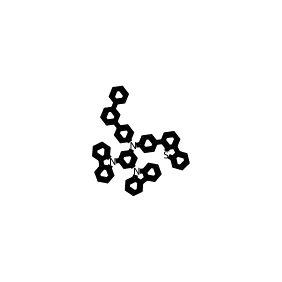 c1ccc(-c2cccc(-c3ccc(N(c4ccc(-c5cccc6c5sc5ccccc56)cc4)c4cc(-n5c6ccccc6c6ccccc65)cc(-n5c6ccccc6c6ccccc65)c4)cc3)c2)cc1